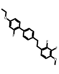 CCOc1ccc(-c2ccc(CCc3ccc(OC)c(F)c3F)cc2)c(F)c1